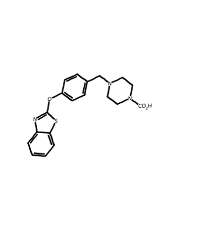 O=C(O)N1CCN(Cc2ccc(Oc3nc4ccccc4s3)cc2)CC1